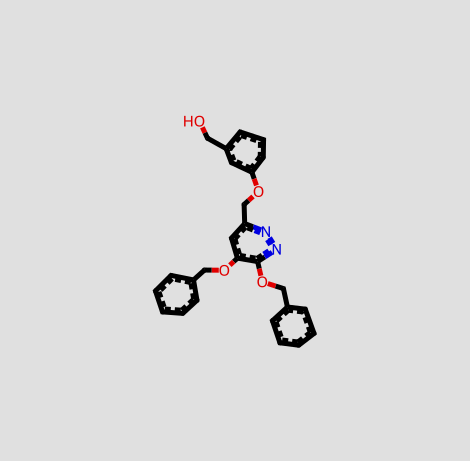 OCc1cccc(OCc2cc(OCc3ccccc3)c(OCc3ccccc3)nn2)c1